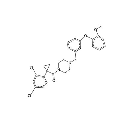 COc1ccccc1Oc1cccc(CN2CCN(C(=O)C3(c4ccc(Cl)cc4Cl)CC3)CC2)c1